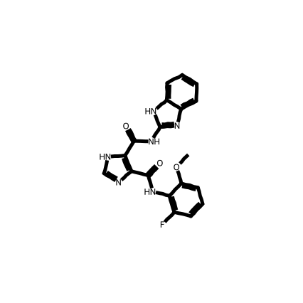 COc1cccc(F)c1NC(=O)c1nc[nH]c1C(=O)Nc1nc2ccccc2[nH]1